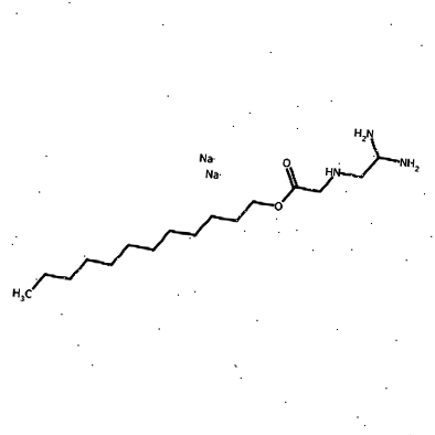 CCCCCCCCCCCCOC(=O)CNCC(N)N.[Na].[Na]